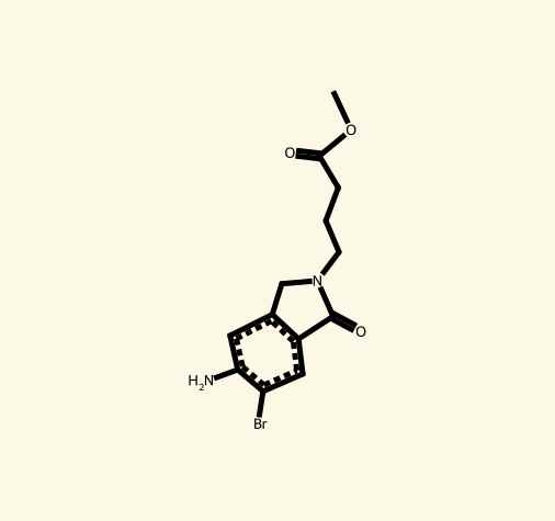 COC(=O)CCCN1Cc2cc(N)c(Br)cc2C1=O